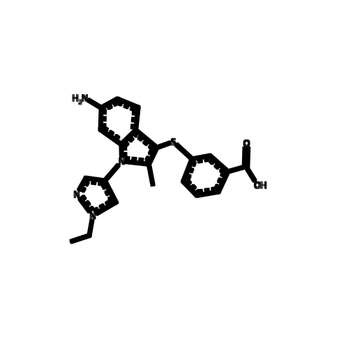 CCn1cc(-n2c(C)c(Sc3cccc(C(=O)O)c3)c3ccc(N)cc32)cn1